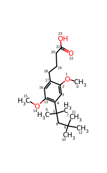 COc1cc(C(C)(C)CC(C)(C)C)c(OC)cc1CCCC(=O)O